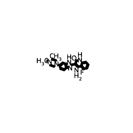 C[C@@H]1CN(c2ccc3nc(-c4c(N)c5c(F)cccc5[nH]c4=O)[nH]c3c2)CCN1C